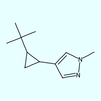 Cn1cc(C2CC2C(C)(C)C)cn1